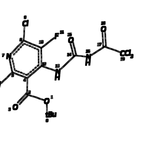 CC(C)(C)OC(=O)c1c(Cl)nc(Cl)c(F)c1NC(=O)NC(=O)C(Cl)(Cl)Cl